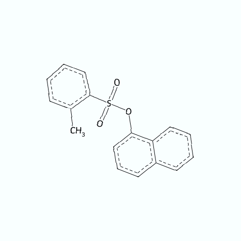 Cc1ccccc1S(=O)(=O)Oc1cccc2ccccc12